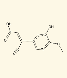 COc1ccc(C(C#N)=CC(=O)O)cc1O